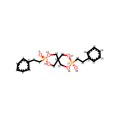 O=P1(CCc2ccccc2)OCC2(CO1)COP(=O)(CCc1ccccc1)OC2